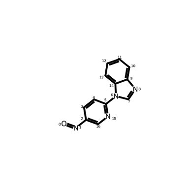 O=Nc1ccc(-n2cnc3ccccc32)nc1